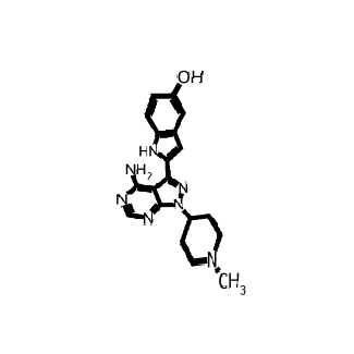 CN1CCC(n2nc(-c3cc4cc(O)ccc4[nH]3)c3c(N)ncnc32)CC1